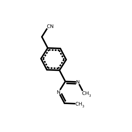 C/C=N\C(=N/C)c1ccc(CC#N)cc1